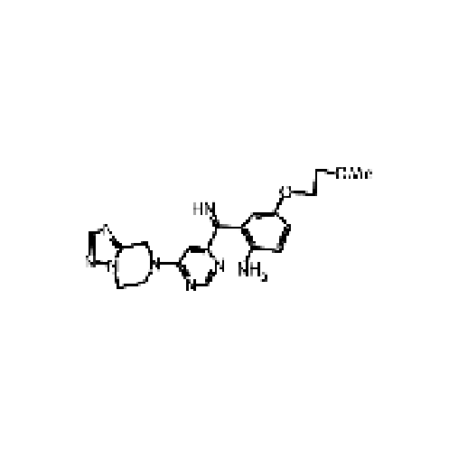 COCCOc1ccc(N)c(C(=N)c2cc(N3CCn4ncnc4C3)ncn2)c1